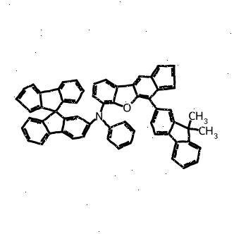 CC1(C)c2ccccc2-c2ccc(-c3c4ccccc4cc4c3oc3c(N(c5ccccc5)c5ccc6c(c5)C5(c7ccccc7-c7ccccc75)c5ccccc5-6)cccc34)cc21